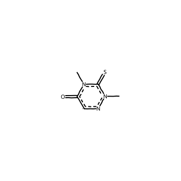 Cn1n[c]c(=O)n(C)c1=S